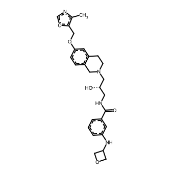 Cc1ncoc1COc1ccc2c(c1)CCN(C[C@@H](O)CNC(=O)c1cccc(NC3COC3)c1)C2